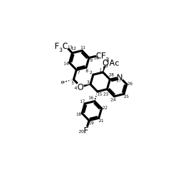 CC(=O)O[C@@H]1C[C@H](O[C@H](C)c2cc(C(F)(F)F)cc(C(F)(F)F)c2)[C@@H](c2ccc(F)cc2)c2cccnc21